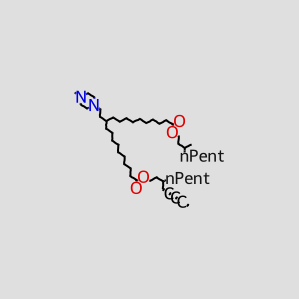 C=C=C=C=CC(CCCCC)CCOC(=O)CCCCCCCCCC(CCCCCCCCCC(=O)OCCC(C)CCCCC)CCN1CCN(C)CC1